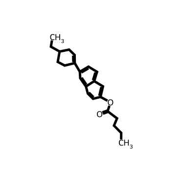 CCCCC(=O)Oc1ccc2cc(C3=CCC(CC)CC3)ccc2c1